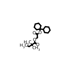 CCC(C)(C)C(=O)OCC(=O)OC1(C2CCCCC2)CCCCC1